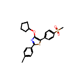 Cc1ccc(-c2nc(OC3CCCC3)c(-c3ccc(S(C)(=O)=O)cc3)s2)cc1